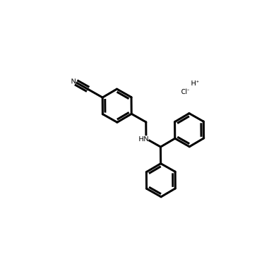 N#Cc1ccc(CNC(c2ccccc2)c2ccccc2)cc1.[Cl-].[H+]